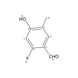 Cc1cc(C=O)c(F)cc1O